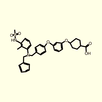 Cc1c(NS(C)(=O)=O)cccc1N(Cc1ccccc1)Cc1ccc(Oc2cccc(OC3CCC(C(=O)O)CC3)c2)cc1